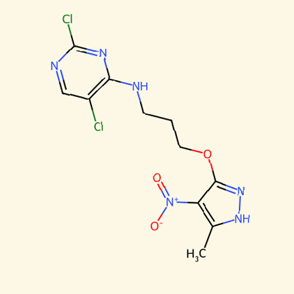 Cc1[nH]nc(OCCCNc2nc(Cl)ncc2Cl)c1[N+](=O)[O-]